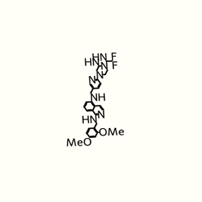 COc1ccc(CNc2nccc3c(NCc4ccc(N5CCN(C(=N)C(F)F)C(=N)C5)nc4)cccc23)c(OC)c1